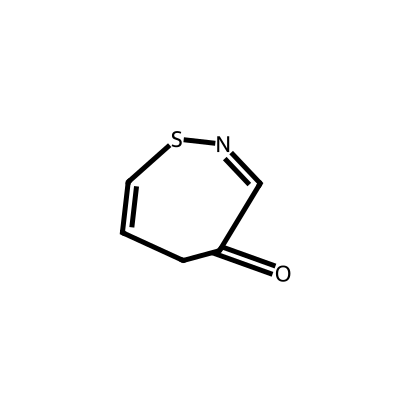 O=C1C=NSC=CC1